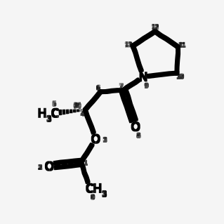 CC(=O)O[C@H](C)CC(=O)N1CCCC1